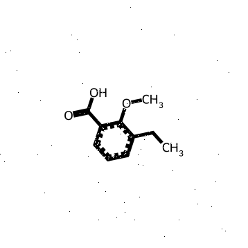 CCc1cccc(C(=O)O)c1OC